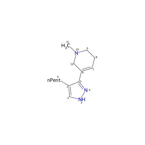 CCCCCc1c[nH]nc1C1=CCCN(C)C1